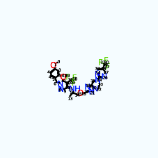 COc1ccc(Cn2ncc(NC(C)COCc3nc4n(n3)CCN(c3ncc(C(F)(F)F)cn3)C4)c(C(F)(F)F)c2=O)cc1